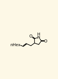 CCCCCCC=CCC1CC(=O)NC1=O